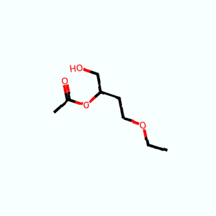 CCOCCC(CO)OC(C)=O